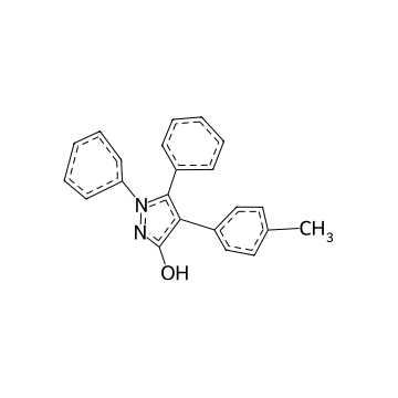 Cc1ccc(-c2c(O)nn(-c3ccccc3)c2-c2ccccc2)cc1